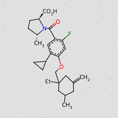 C=C1CC(C)CC(CC)(COc2cc(F)c(C(=O)N3[C@H](C)CC[C@H]3C(=O)O)cc2C2CC2)C1